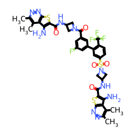 Cc1nnc2sc(C(=O)NC3CN(C(=O)c4cc(F)cc(-c5cc(S(=O)(=O)N6CC(NC(=O)c7sc8nnc(C)c(C)c8c7N)C6)ccc5C(F)(F)F)c4)C3)c(N)c2c1C